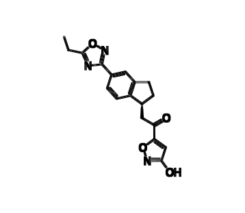 CCc1nc(-c2ccc3c(c2)CC[C@H]3CC(=O)c2cc(O)no2)no1